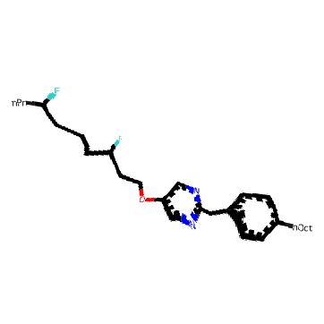 CCCCCCCCc1ccc(-c2ncc(OCCC(F)CCCC(F)CCC)cn2)cc1